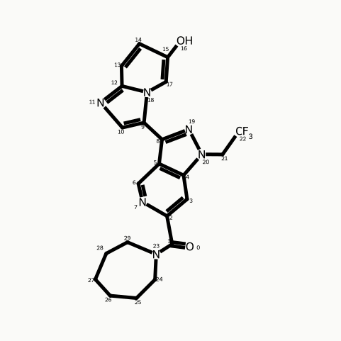 O=C(c1cc2c(cn1)c(-c1cnc3ccc(O)cn13)nn2CC(F)(F)F)N1CCCCCC1